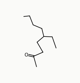 CCCCC(CC)CCC(C)=O